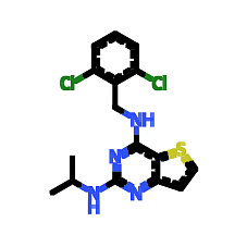 CC(C)Nc1nc(NCc2c(Cl)cccc2Cl)c2sccc2n1